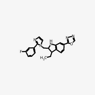 CCC1c2ccc(-c3nnco3)cc2NC1Cn1ccnc1-c1cccc(F)c1